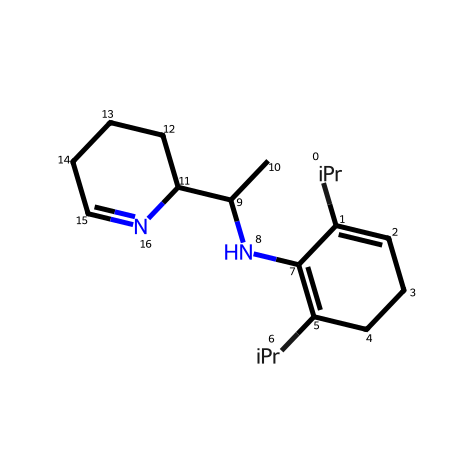 CC(C)C1=CCCC(C(C)C)=C1NC(C)C1CCCC=N1